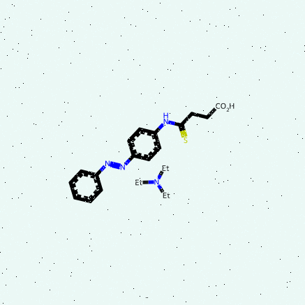 CCN(CC)CC.O=C(O)CCC(=S)Nc1ccc(N=Nc2ccccc2)cc1